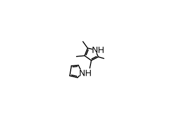 Cc1[nH]c(C)c(C)c1C.c1cc[nH]c1